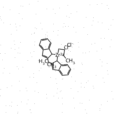 CC1=Cc2ccccc2[CH]1[Zr+2]1([CH]2C(C)=Cc3ccccc32)[CH2]C[CH]1C.[Cl-].[Cl-]